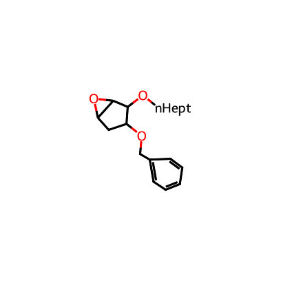 CCCCCCCOC1C(OCc2ccccc2)CC2OC21